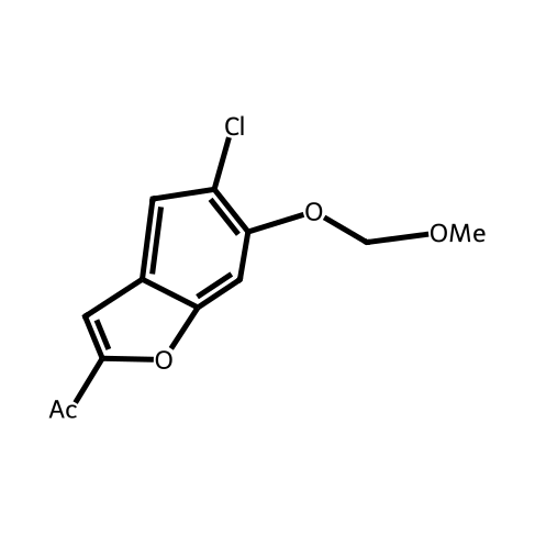 COCOc1cc2oc(C(C)=O)cc2cc1Cl